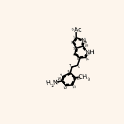 CC(=O)c1cc2cc(CCc3cc(N)ccc3C)c[nH]c-2n1